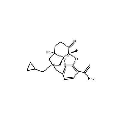 NC(=O)c1ccc2c3c1O[C@H]1C(=O)CCC4(O)C(C2)N(CC2CC2)CC[C@]314